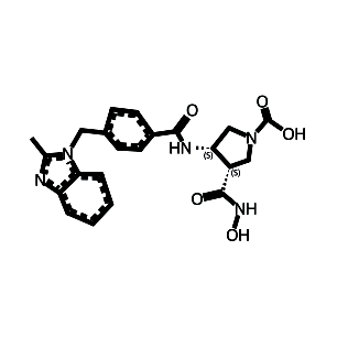 Cc1nc2ccccc2n1Cc1ccc(C(=O)N[C@@H]2CN(C(=O)O)C[C@@H]2C(=O)NO)cc1